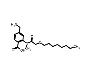 CCCCCCCCOCC(=O)N(C)c1cc(CN)ccc1C(=O)O